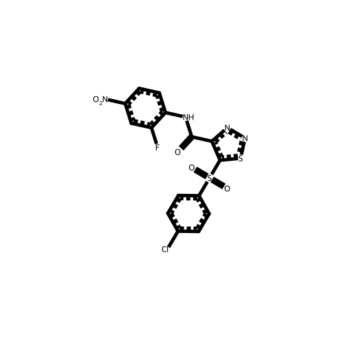 O=C(Nc1ccc([N+](=O)[O-])cc1F)c1nnsc1S(=O)(=O)c1ccc(Cl)cc1